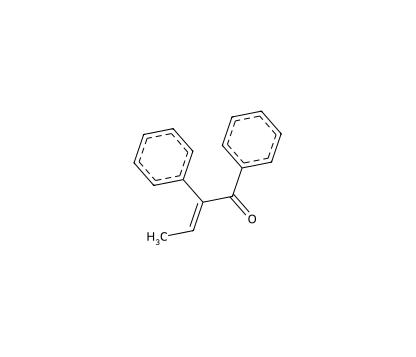 CC=C(C(=O)c1ccccc1)c1ccccc1